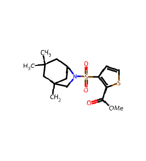 COC(=O)c1sccc1S(=O)(=O)N1CC2(C)CC1CC(C)(C)C2